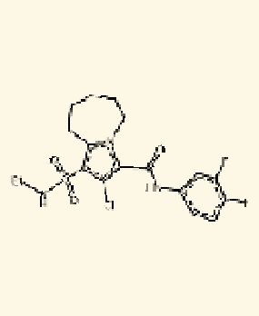 CCNS(=O)(=O)c1c(Cl)c(C(=O)Nc2ccc(F)c(F)c2)n2c1CCCCC2